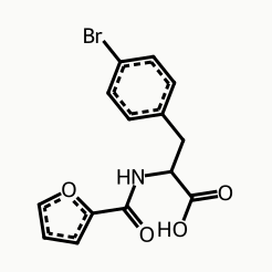 O=C(NC(Cc1ccc(Br)cc1)C(=O)O)c1ccco1